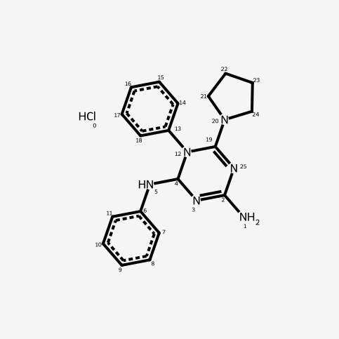 Cl.NC1=NC(Nc2ccccc2)N(c2ccccc2)C(N2CCCC2)=N1